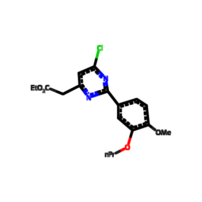 CCCOc1cc(-c2nc(Cl)cc(CC(=O)OCC)n2)ccc1OC